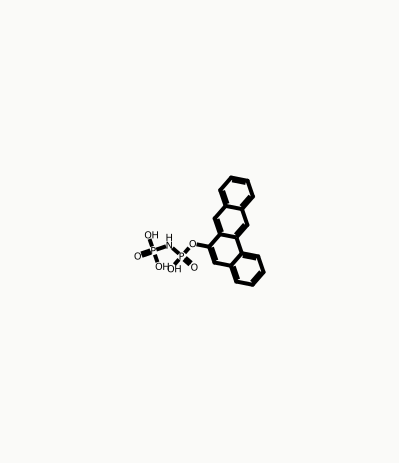 O=P(O)(O)NP(=O)(O)Oc1cc2ccccc2c2cc3ccccc3cc12